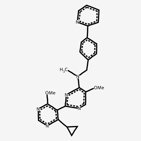 COc1cnc(-c2c(OC)ncnc2C2CC2)nc1N(C)Cc1ccc(-c2ccccn2)cc1